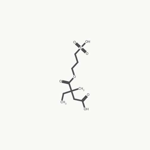 CCC(C)(CC(=O)O)C(=O)OCCCS(=O)(=O)O